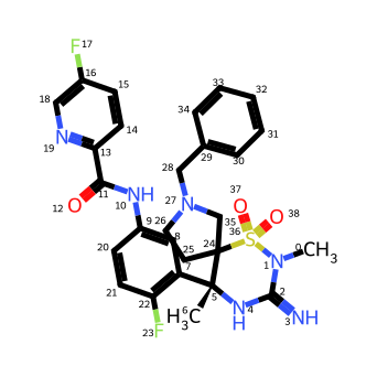 CN1C(=N)N[C@](C)(c2cc(NC(=O)c3ccc(F)cn3)ccc2F)C2(CCN(Cc3ccccc3)C2)S1(=O)=O